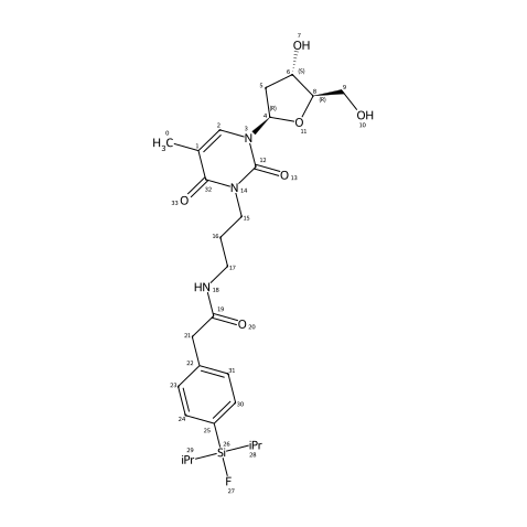 Cc1cn([C@H]2C[C@H](O)[C@@H](CO)O2)c(=O)n(CCCNC(=O)Cc2ccc([Si](F)(C(C)C)C(C)C)cc2)c1=O